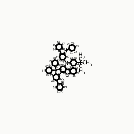 CC(C)(C)c1ccc(N(c2ccc3c4ccccc4n(-c4ccccc4)c3c2)c2cc3c(c4oc5ccccc5c24)-c2c(ccc4c2oc2ccccc24)C3(c2ccccc2)c2ccccc2)cc1